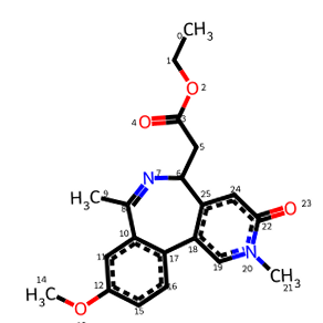 CCOC(=O)CC1N=C(C)c2cc(OC)ccc2-c2cn(C)c(=O)cc21